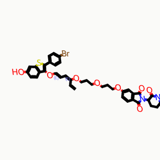 C=C/C(=C\C=C\Oc1c(-c2ccc(Br)cc2)sc2cc(O)ccc12)OCCCOCCCOc1ccc2c(c1)C(=O)N(C1CCC(=O)NC1=O)C2=O